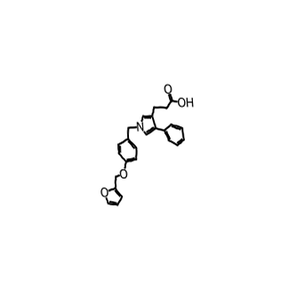 O=C(O)CCc1cn(Cc2ccc(OCc3ccco3)cc2)cc1-c1ccccc1